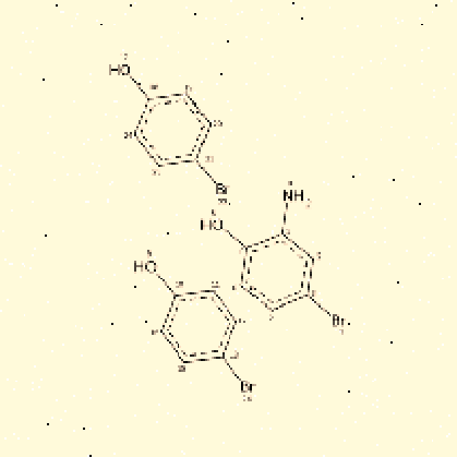 Nc1cc(Br)ccc1O.Oc1ccc(Br)cc1.Oc1ccc(Br)cc1